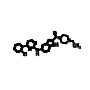 CCN1CCN(C(=O)c2cc3cc(Nc4nccc(-c5ccccc5Cl)n4)ccc3[nH]2)CC1